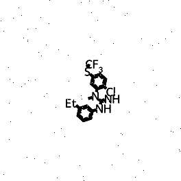 CCc1cccc(NC(=N)N(C)c2cc(SC(F)(F)F)ccc2Cl)c1